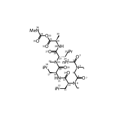 CCCC(=O)N(C)CC(=O)N(C)[C@@H](CC(C)C)C(=O)N[C@@H](CC(C)C)C(=O)N(C)[C@@H](CC(C)C)C(=O)N[C@H](C)C(=O)OC(=O)NC